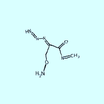 C=NC(=O)/C(CON)=N/N=N